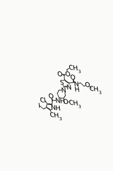 CCOC(=O)c1sc(N2CCC(NC(=O)c3[nH]c(C)c(CI)c3Cl)C(OC)C2)nc1C(=O)NCCOC